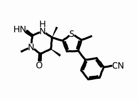 Cc1sc([C@@]2(C)NC(=N)N(C)C(=O)[C@@H]2C)cc1-c1cccc(C#N)c1